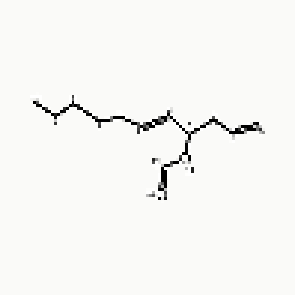 C=CCC(C=CCCCCC)O[C]=O